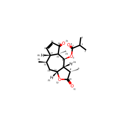 CC(C)C(=O)O[C@H]1[C@@H]2[C@H](C)C(=O)O[C@@H]2C[C@@H](C)[C@@H]2C=CC(=O)[C@]21C